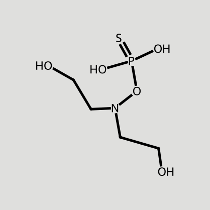 OCCN(CCO)OP(O)(O)=S